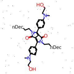 CCCCCCCCCCCCN1C(=O)C2=C(c3ccc(N(C)CCO)cc3)N(CCCCCCCCCCCC)C(=O)C2=C1c1ccc(N(C)CCO)cc1